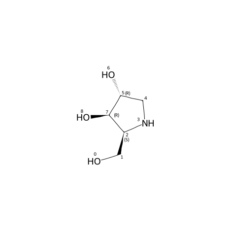 OC[C@@H]1NC[C@@H](O)[C@@H]1O